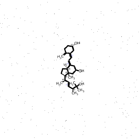 C=C1CC[C@H](O)C/C1=C/C=C1\CC(O)C[C@]2(C)[C@@H]([C@H](C)/C=C/[C@H](C)C(C)(C)O)CC[C@@H]12